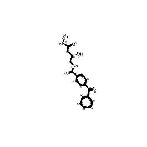 O=C(C[C@H](O)CNC(=O)c1ccc(C(=O)c2ccccc2)cc1)NO